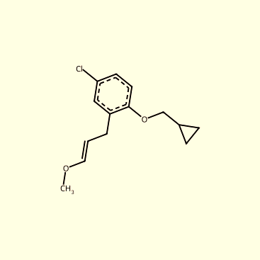 CO/C=C/Cc1cc(Cl)ccc1OCC1CC1